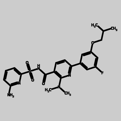 CC(C)COc1cc(F)cc(-c2ccc(C(=O)NS(=O)(=O)c3cccc(N)n3)c(N(C)C)n2)c1